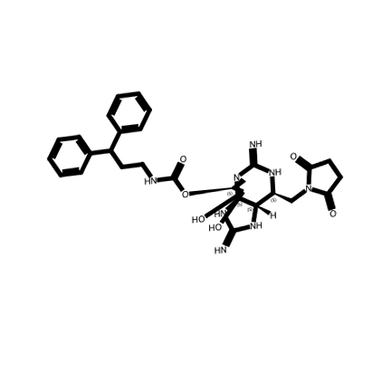 N=C1N[C@H]2[C@H](CN3C(=O)CCC3=O)NC(=N)N3C[C@H](OC(=O)NCCC(c4ccccc4)c4ccccc4)C(O)(O)[C@]23N1